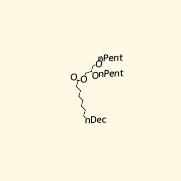 CCCCCCCCCCCCCCCCCC(=O)OCC(COCCCCC)OCCCCC